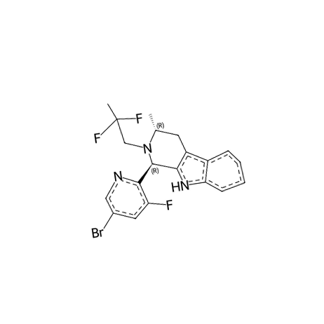 C[C@@H]1Cc2c([nH]c3ccccc23)[C@@H](c2ncc(Br)cc2F)N1CC(C)(F)F